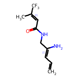 C=C/C=C(\N)CNC(=O)/C=C(\C)C(F)(F)F